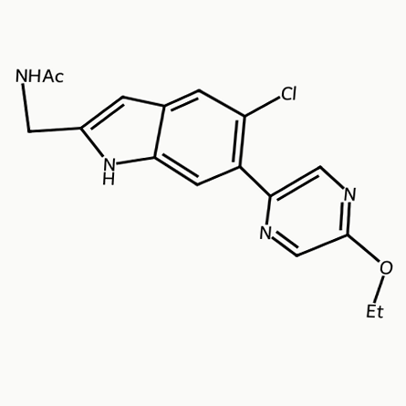 CCOc1cnc(-c2cc3[nH]c(CNC(C)=O)cc3cc2Cl)cn1